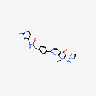 CCn1c(N)c(-c2ncc[nH]2)c(=O)c2ccc(-c3ccc(CC(=O)Nc4ccnc(C)c4)cc3)nc21